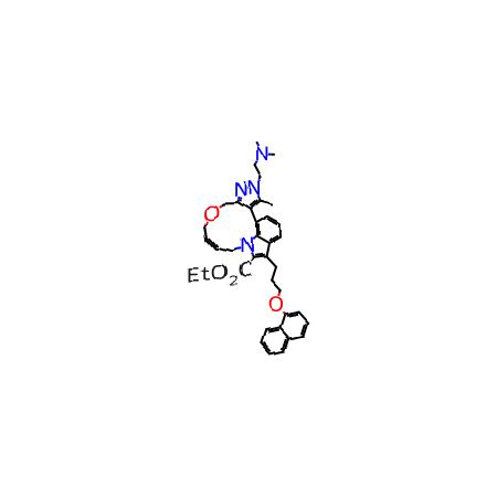 CCOC(=O)c1c(CCCOc2cccc3ccccc23)c2cccc3c2n1C/C=C\COCc1nn(CCN(C)C)c(C)c1-3